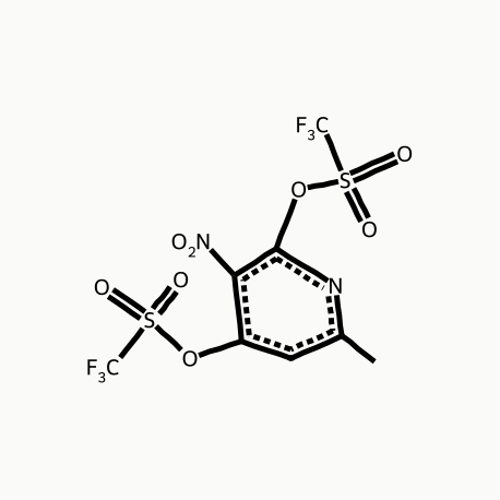 Cc1cc(OS(=O)(=O)C(F)(F)F)c([N+](=O)[O-])c(OS(=O)(=O)C(F)(F)F)n1